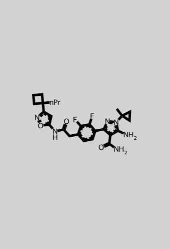 CCCC1(c2cc(NC(=O)Cc3ccc(-c4nn(C5(C)CC5)c(N)c4C(N)=O)c(F)c3F)on2)CCC1